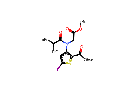 CCCC(CCC)C(=O)N(CC(=O)OC(C)(C)C)c1cc(I)sc1C(=O)OC